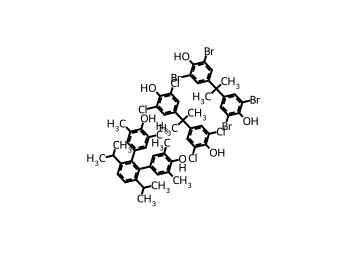 CC(C)(c1cc(Br)c(O)c(Br)c1)c1cc(Br)c(O)c(Br)c1.CC(C)(c1cc(Cl)c(O)c(Cl)c1)c1cc(Cl)c(O)c(Cl)c1.Cc1cc(-c2c(C(C)C)ccc(C(C)C)c2-c2cc(C)c(O)c(C)c2)cc(C)c1O